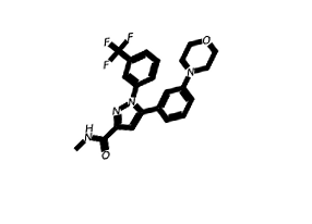 CNC(=O)c1cc(-c2cccc(N3CCOCC3)c2)n(-c2cccc(C(F)(F)F)c2)n1